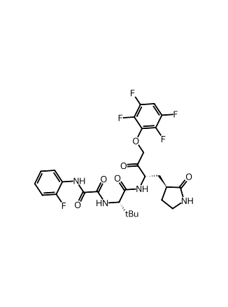 CC(C)(C)[C@H](NC(=O)C(=O)Nc1ccccc1F)C(=O)N[C@@H](C[C@@H]1CCNC1=O)C(=O)COc1c(F)c(F)cc(F)c1F